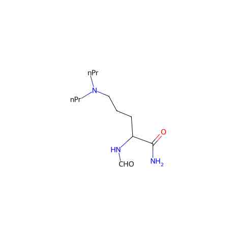 CCCN(CCC)CCCC(NC=O)C(N)=O